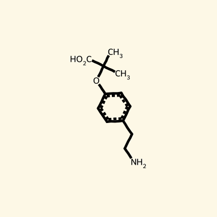 CC(C)(Oc1ccc(CCN)cc1)C(=O)O